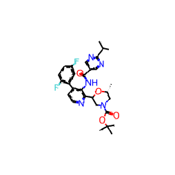 CC(C)c1ncc(C(=O)Nc2c(-c3cc(F)ccc3F)ccnc2C2CN(C(=O)OC(C)(C)C)C[C@@H](C)O2)cn1